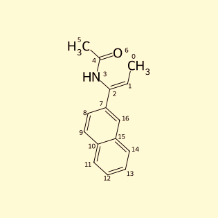 CC=C(NC(C)=O)c1ccc2ccccc2c1